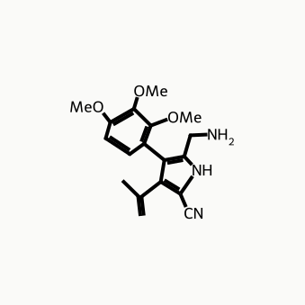 C=C(C)c1c(C#N)[nH]c(CN)c1-c1ccc(OC)c(OC)c1OC